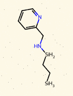 [SiH3]CC[SiH2]NCc1ccccn1